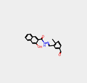 Cc1ccc(C=O)cc1/C=N/NC(=O)c1cc2ccccc2cc1O